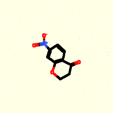 O=C1CCOc2cc([N+](=O)[O-])ccc21